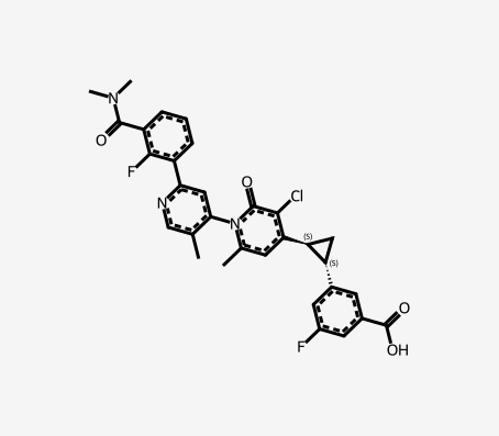 Cc1cnc(-c2cccc(C(=O)N(C)C)c2F)cc1-n1c(C)cc([C@H]2C[C@@H]2c2cc(F)cc(C(=O)O)c2)c(Cl)c1=O